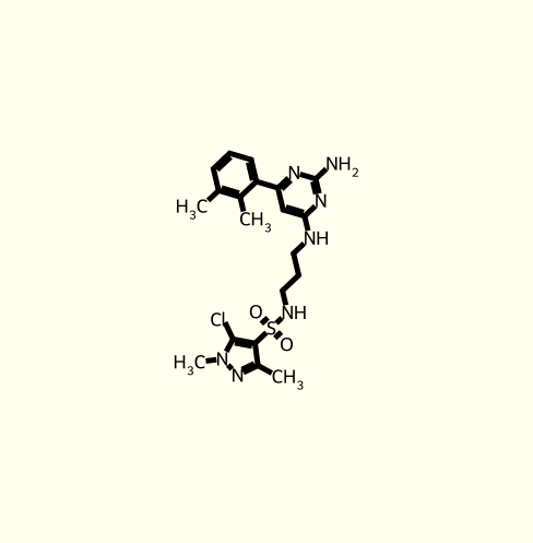 Cc1cccc(-c2cc(NCCCNS(=O)(=O)c3c(C)nn(C)c3Cl)nc(N)n2)c1C